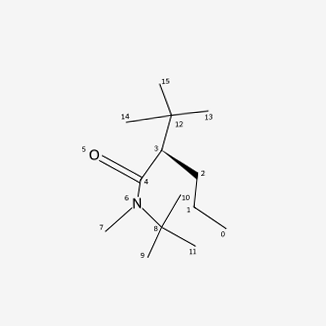 CCC[C@@H](C(=O)N(C)C(C)(C)C)C(C)(C)C